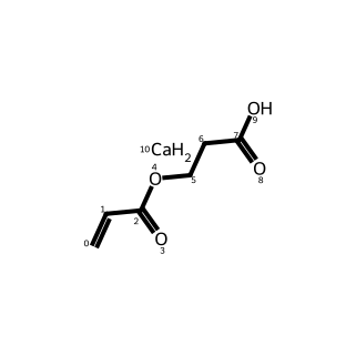 C=CC(=O)OCCC(=O)O.[CaH2]